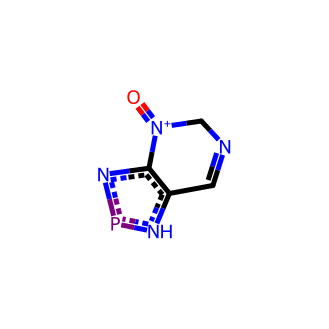 O=[N+]1CN=Cc2[nH]pnc21